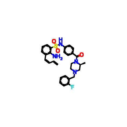 C=C/C=C\c1cccc(S(=O)(=O)Nc2ccc(C(=O)N3CCN(Cc4ccccc4F)C[C@@H]3C)cc2)c1N